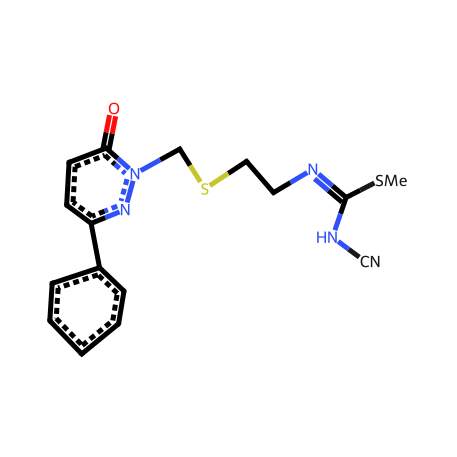 CSC(=NCCSCn1nc(-c2ccccc2)ccc1=O)NC#N